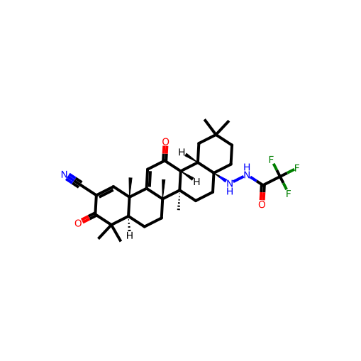 CC1(C)CC[C@]2(NNC(=O)C(F)(F)F)CC[C@]3(C)[C@H](C(=O)C=C4[C@@]5(C)C=C(C#N)C(=O)C(C)(C)[C@@H]5CC[C@]43C)[C@@H]2C1